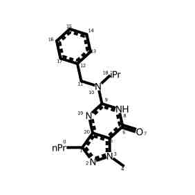 CCCc1nn(C)c2c(=O)[nH]c(N(Cc3ccccc3)C(C)C)nc12